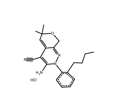 CCCCc1ccccc1N1N=C2COC(C)(C)C=C2C(C#N)=C1N.Cl